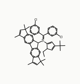 CCC1C=C(C(C)(C)C)C=[C]1[Zr](=[C](c1cccc(Cl)c1)c1cccc(Cl)c1)[CH]1c2cc3c(cc2-c2cc4c(cc21)C(C)(C)C=C4C)C(C)=CC3(C)C